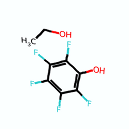 CCO.Oc1c(F)c(F)c(F)c(F)c1F